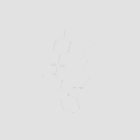 Cc1ccc(S(=O)(=O)NCCC2(C/C=C\CCCC(=O)[O-])CCCCC2)cc1.[Na+]